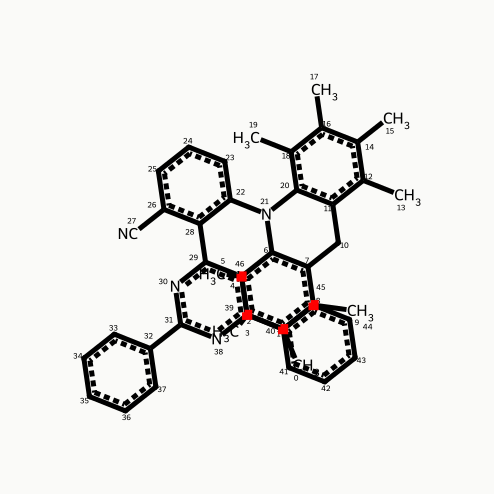 Cc1c(C)c(C)c2c(c1C)Cc1c(C)c(C)c(C)c(C)c1N2c1cccc(C#N)c1-c1nc(-c2ccccc2)nc(-c2ccccc2)n1